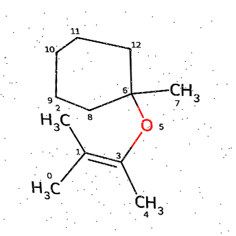 CC(C)=C(C)OC1(C)CCCCC1